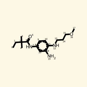 CCC(C)(C)C(=O)Nc1ccc(NCCCOC)c(N)c1